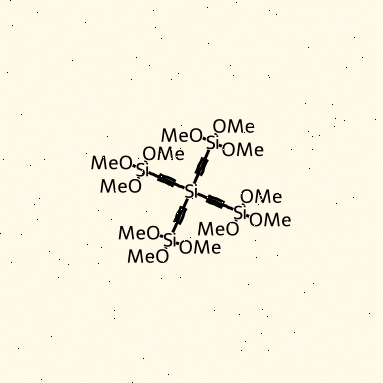 CO[Si](C#C[Si](C#C[Si](OC)(OC)OC)(C#C[Si](OC)(OC)OC)C#C[Si](OC)(OC)OC)(OC)OC